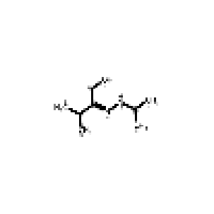 CC(C)N/N=C(\CO)C(C)C